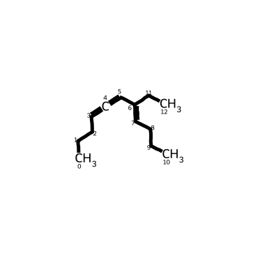 CCCC=C=CC(=CCCC)CC